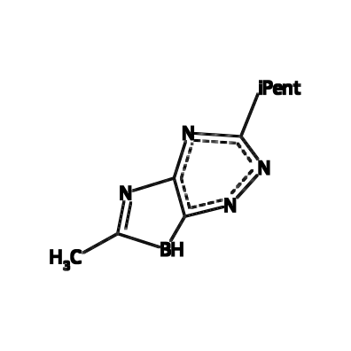 CCCC(C)c1nnc2c(n1)N=C(C)B2